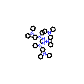 c1ccc(N(C2=NC(n3c4ccccc4c4ccc(N(c5ccccc5)c5ccccc5)cc43)=NC(N(c3ccccc3)c3ccc4c5ccccc5n(-c5ccccc5)c4c3)C2)c2ccc3c(c2)c2ccccc2n3-c2ccccc2)cc1